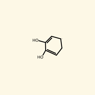 OC1=C[CH]CC=C1O